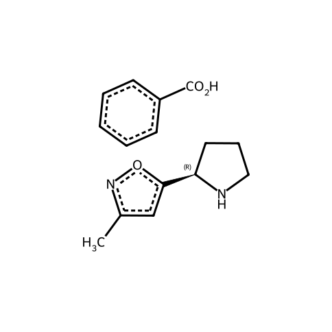 Cc1cc([C@H]2CCCN2)on1.O=C(O)c1ccccc1